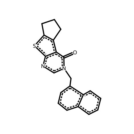 O=c1c2c3c(sc2ncn1Cc1cccc2ccccc12)CCC3